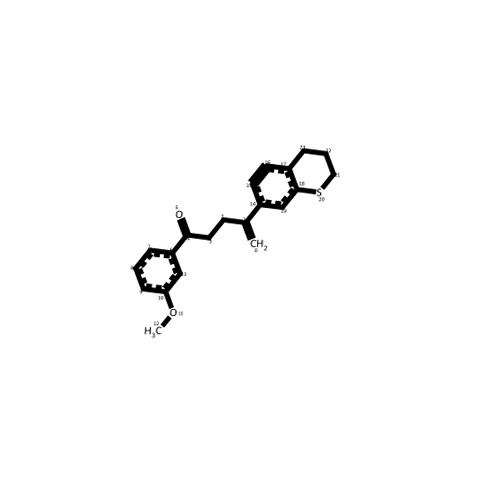 C=C(CCC(=O)c1cccc(OC)c1)c1c#cc2c(c1)SCCC2